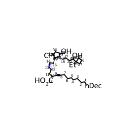 CCCCCCCCCCCCCCCCCC#CC(CC/C=C\C[C@@H]1[C@H](/C=C/C[C@H](O)C2(CC)CCC2)[C@H](O)C[C@@H]1Cl)C(=O)O